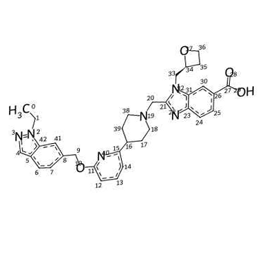 CCn1ncc2ccc(COc3cccc(C4CCN(Cc5nc6ccc(C(=O)O)cc6n5C[C@@H]5CCO5)CC4)n3)cc21